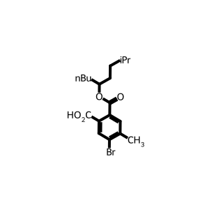 CCCCC(CCC(C)C)OC(=O)c1cc(C)c(Br)cc1C(=O)O